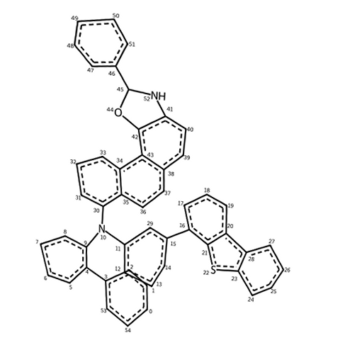 c1ccc(-c2ccccc2N(c2cccc(-c3cccc4c3sc3ccccc34)c2)c2cccc3c2ccc2ccc4c(c23)OC(c2ccccc2)N4)cc1